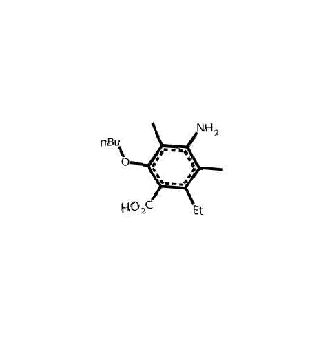 CCCCOc1c(C)c(N)c(C)c(CC)c1C(=O)O